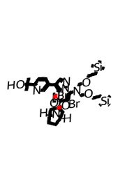 CC(C)(C)OC(=O)N1[C@@H]2CC[C@H]1C[C@@H](c1nc3c(-c4ccc(C(C)(C)O)nc4)cnn3c(N(COCC[Si](C)(C)C)COCC[Si](C)(C)C)c1Br)C2